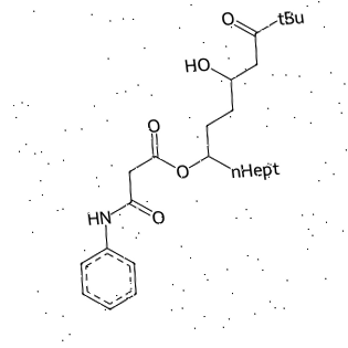 CCCCCCCC(CCC(O)CC(=O)C(C)(C)C)OC(=O)CC(=O)Nc1ccccc1